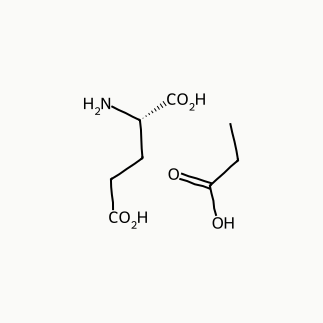 CCC(=O)O.N[C@@H](CCC(=O)O)C(=O)O